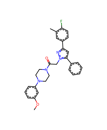 COc1cccc(N2CCN(C(=O)Cn3nc(-c4ccc(F)c(C)c4)cc3-c3ccccc3)CC2)c1